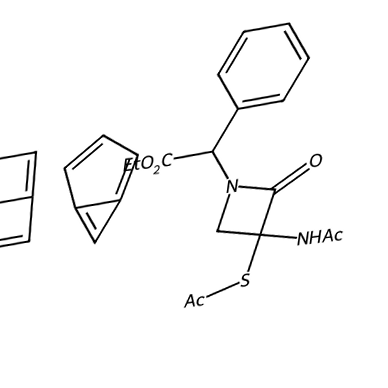 CCOC(=O)C(c1ccccc1)N1CC(NC(C)=O)(SC(C)=O)C1=O.c1cc2cc-2c1.c1cc2ccc1-2